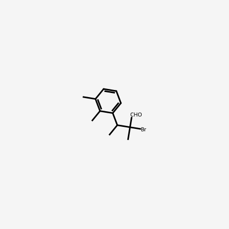 Cc1cccc(C(C)C(C)(Br)C=O)c1C